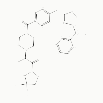 CC(C(=O)N1CCC(F)(F)C1)N1CCN(C(=O)c2ccc(C[C@@H]3CC[C@H]([C@H](O)c4ccccc4)N3)cc2)CC1